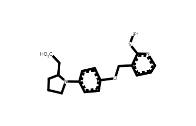 CC(C)Sc1ncccc1COc1ccc(N2CCCC2CC(=O)O)cc1